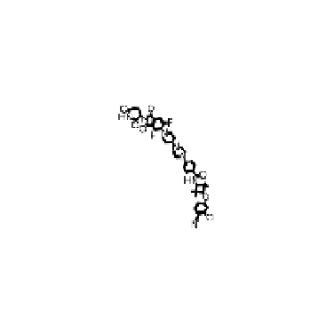 CC1(C)[C@H](NC(=O)c2ccc(N3CCN(C4CCN(c5c(F)cc6c(c5F)C(=O)N(C5CCC(=O)NC5=O)C6=O)CC4)CC3)cc2)C(C)(C)[C@H]1Oc1ccc(C#N)c(Cl)c1